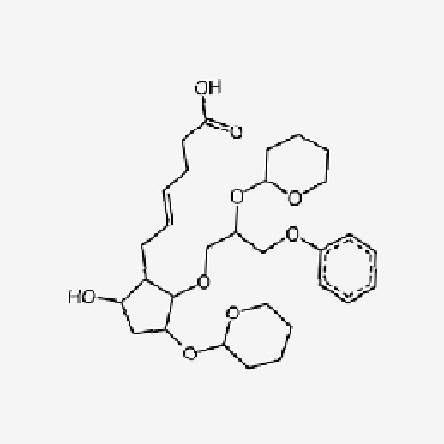 O=C(O)CC/C=C/CC1C(O)CC(OC2CCCCO2)C1OCC(COc1ccccc1)OC1CCCCO1